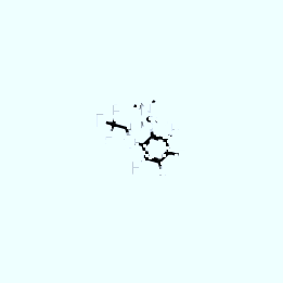 CN(C)S(=O)(=O)c1c(F)c(F)c(F)c(F)c1OCC(F)(F)F